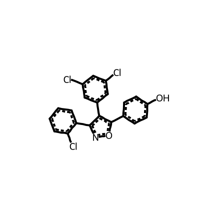 Oc1ccc(-c2onc(-c3ccccc3Cl)c2-c2cc(Cl)cc(Cl)c2)cc1